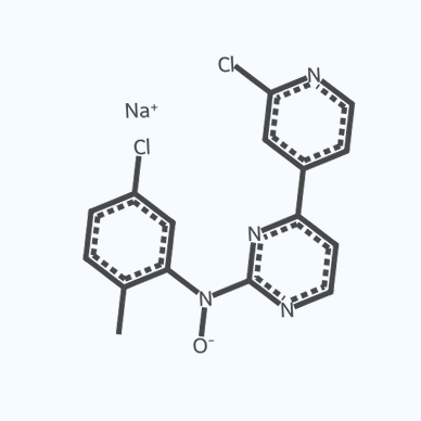 Cc1ccc(Cl)cc1N([O-])c1nccc(-c2ccnc(Cl)c2)n1.[Na+]